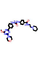 COc1nc(-c2ccc(NC(=O)Nc3ccc(C(=O)NCCN4CCCCC4)cc3)cc2)nc(N2CCOCC2)n1